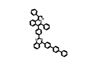 c1ccc(-c2ccc(-c3ccc(-c4nc(-c5ccc(-c6c(-c7ccccc7)n7ncc(-c8ccccc8)c7c7ccccc67)cc5)nc5ccccc45)cc3)cc2)cc1